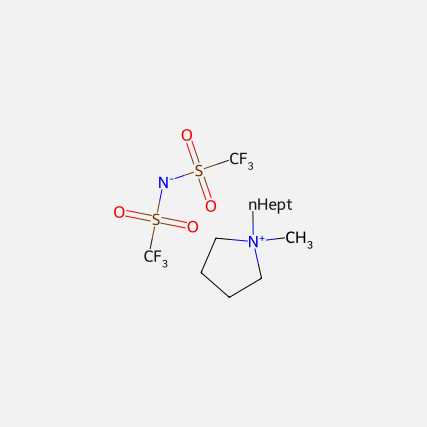 CCCCCCC[N+]1(C)CCCC1.O=S(=O)([N-]S(=O)(=O)C(F)(F)F)C(F)(F)F